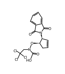 O=C(O)N(CC(Cl)(Cl)Cl)O[C@@H]1CC=C[C@@H]1N1C(=O)c2ccccc2C1=O